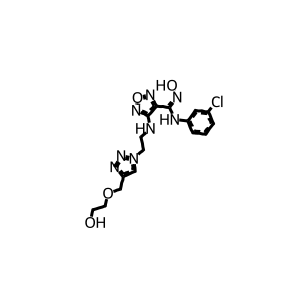 OCCOCc1cn(CCNc2nonc2C(=NO)Nc2cccc(Cl)c2)nn1